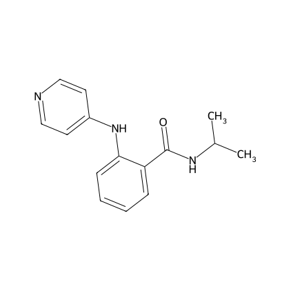 CC(C)NC(=O)c1ccccc1Nc1ccncc1